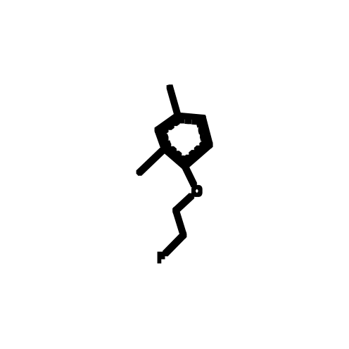 Cc1ccc(OCCF)c(C)c1